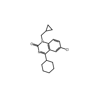 O=c1nc(C2CCCCC2)c2cc(Cl)ccc2n1CC1CC1